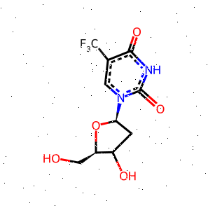 O=c1[nH]c(=O)n([C@H]2CC(O)[C@@H](CO)O2)cc1C(F)(F)F